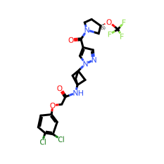 O=C(COc1ccc(Cl)c(Cl)c1)NC12CC(n3cc(C(=O)N4CC[C@H](OC(F)(F)F)C4)cn3)(C1)C2